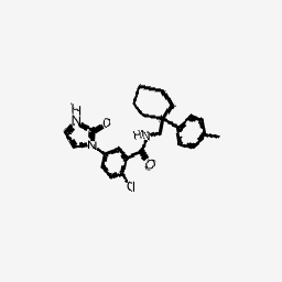 Cc1ccc(C2(CNC(=O)c3cc(-n4cc[nH]c4=O)ccc3Cl)CCCCC2)cc1